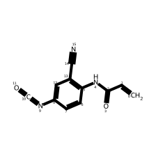 C=CC(=O)Nc1ccc(N=C=O)cc1C#N